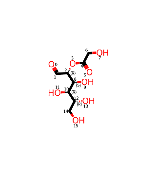 O=C[C@H](OC(=O)CO)[C@@H](O)[C@H](O)[C@H](O)CO